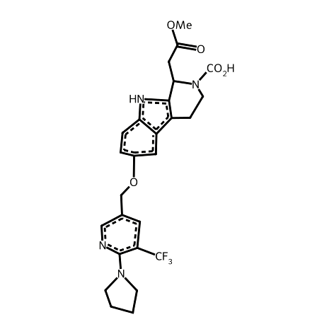 COC(=O)CC1c2[nH]c3ccc(OCc4cnc(N5CCCC5)c(C(F)(F)F)c4)cc3c2CCN1C(=O)O